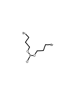 [O]B(OCCCBr)OCCCBr